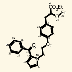 CCOC(=O)C(Cc1ccc(OCCn2cccc2C(=O)c2ccccc2)cc1)OCC